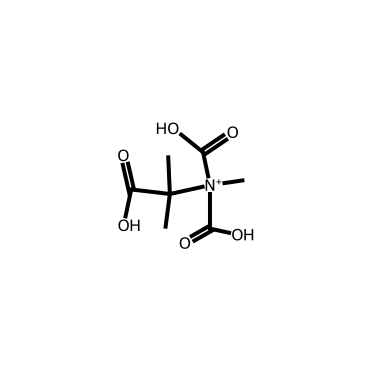 CC(C)(C(=O)O)[N+](C)(C(=O)O)C(=O)O